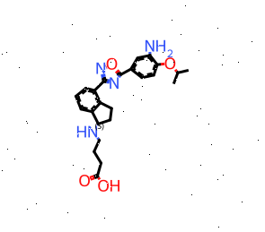 CC(C)Oc1ccc(-c2nc(-c3cccc4c3CC[C@@H]4NCCCC(=O)O)no2)cc1N